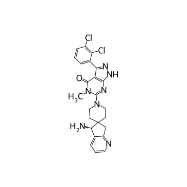 Cn1c(N2CCC3(CC2)Cc2ncccc2[C@H]3N)nc2[nH]nc(-c3cccc(Cl)c3Cl)c2c1=O